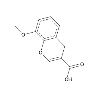 COc1cccc2c1OC=C(C(=O)O)C2